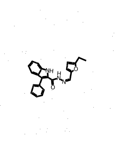 CCc1ccc(/C=N\NC(=O)c2[nH]c3ccccc3c2-c2ccccc2)o1